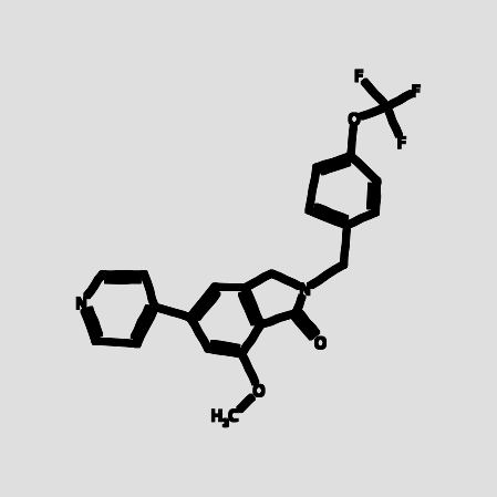 COc1cc(-c2ccncc2)cc2c1C(=O)N(Cc1ccc(OC(F)(F)F)cc1)C2